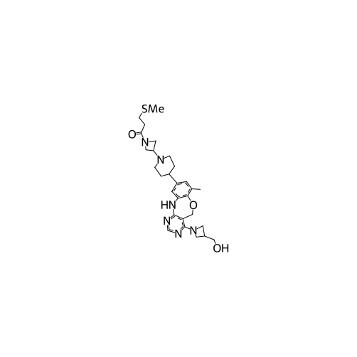 CSCCC(=O)N1CC(N2CCC(c3cc(C)c4c(c3)Nc3ncnc(N5CC(CO)C5)c3CO4)CC2)C1